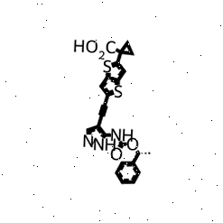 C[C@@H](OC(=O)Nc1[nH]ncc1C#Cc1cc2sc(C3(C(=O)O)CC3)cc2s1)c1ccccc1